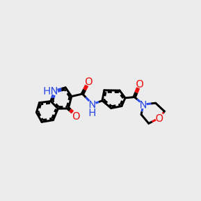 O=C(Nc1ccc(C(=O)N2CCOCC2)cc1)c1c[nH]c2ccccc2c1=O